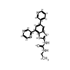 CCNC(=O)Nc1nc2cc(-c3cccnc3)cc(-c3cnccn3)c2s1